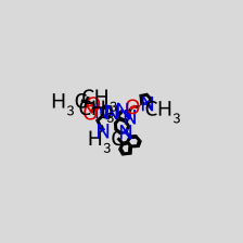 Cc1cccc2cccc(N3CCCc4c(nc(OC[C@@H]5CCCN5C)nc4N4CCN(C(=O)OC(C)(C)C)C(CC#N)C4)C3)c12